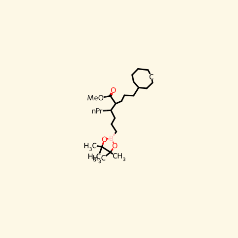 CCCC(CCCB1OC(C)(C)C(C)(C)O1)C(CCCC1CCCCCCC1)C(=O)OC